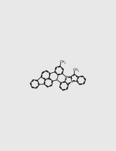 Cc1cc2c3c(c1)-n1c4c(cccc4n4c5ccccc5c(C)c14)B3c1ccc3c4c(ccc-2c14)-c1ccccc1-3